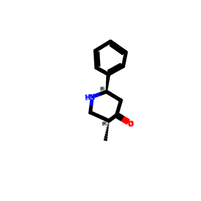 C[C@@H]1CN[C@@H](c2ccccc2)CC1=O